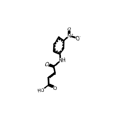 O=C(O)C=CC(=O)Nc1cccc([N+](=O)[O-])c1